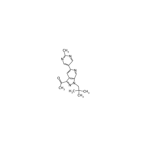 CC(=O)c1nn(CC(C)(C)C)c2cnc(-c3cnc(C)nc3)cc12